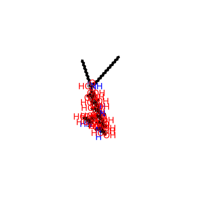 CCCCCCCCCCCCC/C=C/[C@@H](O)[C@H](CO[C@@H]1OC(CO)[C@@H](O[C@@H]2OC(CO)[C@H](O[C@@H]3OC(CO)[C@H](O)[C@H](O[C@@H]4OC(CO[C@]5(C(=O)O)CC(O)[C@@H](NC(C)=O)C([C@H](O)[C@H](O)CO)O5)[C@H](O)[C@H](O[C@@H]5OC(CO)[C@H](O)[C@H](O[C@]6(C(=O)O)CC(O)[C@@H](NC(C)=O)C([C@H](O)[C@H](O)CO)O6)C5O)C4NC(C)=O)C3O)[C@H](O)C2O)[C@H](O)C1O)NC(=O)CCCCCCCCCCCCCCCCCCCCC